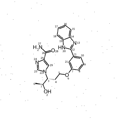 C[C@H](O)[C@@H](CCOc1cccc(-c2nc3ccccc3[nH]2)c1)n1cnc(C(N)=O)c1